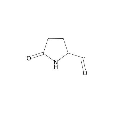 O=[C]C1CCC(=O)N1